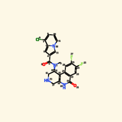 CN(C(=O)c1cc2c(Cl)cccn2c1)[C@@H]1CNCc2[nH]c(=O)c3cc(F)c(F)cc3c21